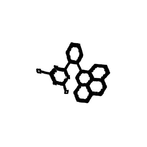 Clc1nc(Cl)nc(-c2ccccc2-c2cc3cccc4ccc5cccc2c5c43)n1